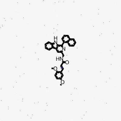 COc1ccc(OC)c(/C=C/C(=O)NCc2cc3c([nH]c4ccccc43)c(-c3cccc4ccccc34)n2)c1